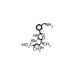 C/C(=C\[C@H](C(C)C)N(C)C(=O)[C@@H](NC(=O)c1cccc(CN)c1)C(C)(C)C)C(=O)O